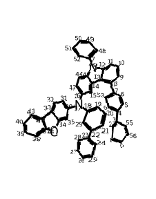 c1ccc(-c2ccc(-c3cccc4c3c3cc(N(c5cccc(-c6ccccc6)c5)c5ccc6c(c5)oc5ccccc56)ccc3n4-c3ccccc3)cc2)cc1